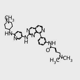 CN(C)CC=CC(=O)Nc1cccc(-c2nccc3cnc(Nc4ccc(NC5CCN(C)CC5)nc4)nc23)c1